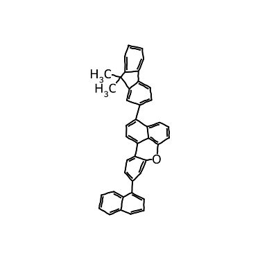 CC1(C)c2ccccc2-c2ccc(-c3ccc4c5c(cccc35)Oc3cc(-c5cccc6ccccc56)ccc3-4)cc21